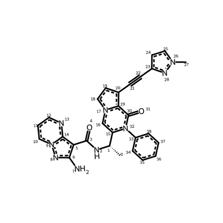 C[C@H](NC(=O)c1c(N)nn2cccnc12)c1cn2ccc(C#Cc3ccn(C)n3)c2c(=O)n1-c1ccccc1